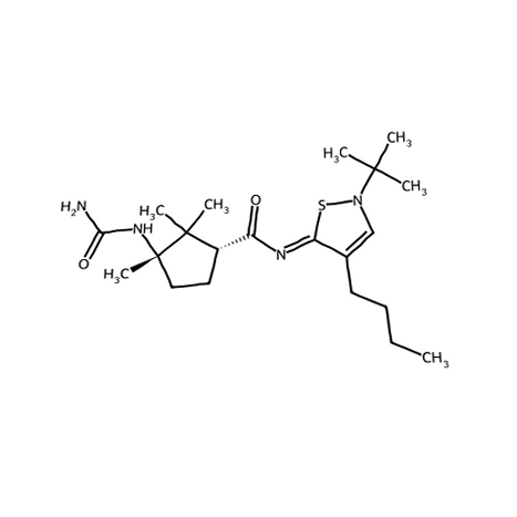 CCCCc1cn(C(C)(C)C)s/c1=N\C(=O)[C@@H]1CC[C@](C)(NC(N)=O)C1(C)C